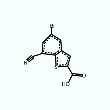 N#Cc1cc(Br)cc2cc(C(=O)O)sc12